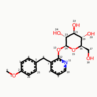 COc1ccc(Cc2cccnc2O[C@@H]2O[C@H](CO)[C@@H](O)[C@H](O)[C@H]2O)cc1